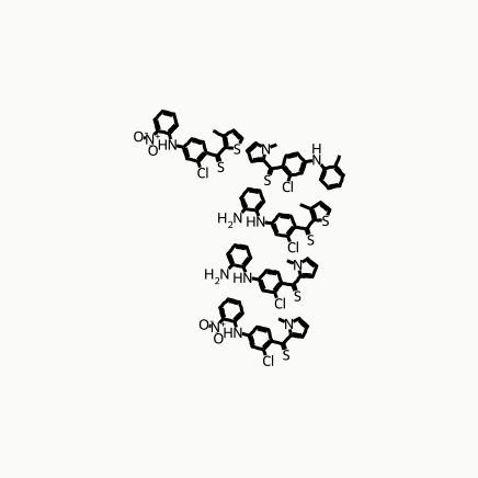 Cc1ccccc1Nc1ccc(C(=S)c2cccn2C)c(Cl)c1.Cc1ccsc1C(=S)c1ccc(Nc2ccccc2N)cc1Cl.Cc1ccsc1C(=S)c1ccc(Nc2ccccc2[N+](=O)[O-])cc1Cl.Cn1cccc1C(=S)c1ccc(Nc2ccccc2N)cc1Cl.Cn1cccc1C(=S)c1ccc(Nc2ccccc2[N+](=O)[O-])cc1Cl